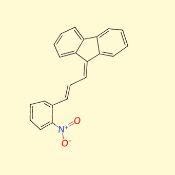 O=[N+]([O-])c1ccccc1C=CC=C1c2ccccc2-c2ccccc21